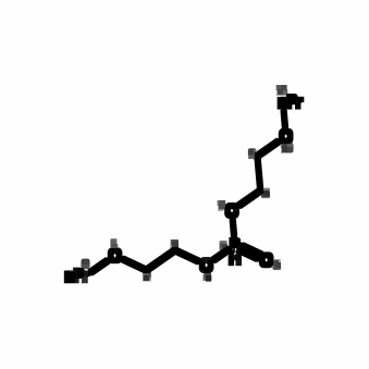 CCCOCCO[PH](=O)OCCOCCC